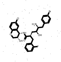 N[C@@H](Cc1ccc(Br)cc1)[C@@H](O)C[C@@H](Cc1ccccc1F)C(=O)N[C@H]1c2cc(Cl)ccc2OC[C@H]1O